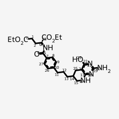 CCOC(=O)CC[C@H](NC(=O)c1ccc(CCCC2CNc3nc(N)nc(O)c3C2)cc1)C(=O)OCC